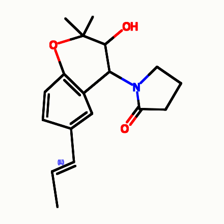 C/C=C/c1ccc2c(c1)C(N1CCCC1=O)C(O)C(C)(C)O2